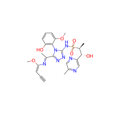 C#C/C=C(\N=C(/C)c1nnc(NS(=O)(=O)[C@@H](C)[C@H](O)c2cnc(C)cn2)n1-c1c(O)cccc1OC)OC